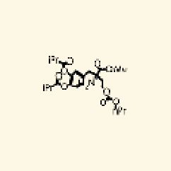 CCCOC(=O)OCC[C@@](N)(Cc1ccc(OC(=O)C(C)C)c(OC(=O)C(C)C)c1)C(=O)OC